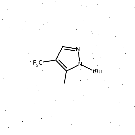 CC(C)(C)n1ncc(C(F)(F)F)c1I